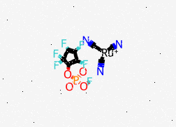 N#[C][Ru+]([C]#N)[C]#N.O=P([O-])(OF)OC1=C(F)C(F)=C(F)C1(F)F